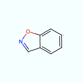 [c]1ccc2[c]noc2c1